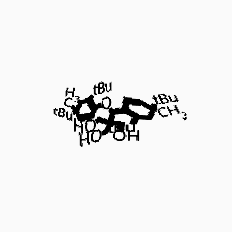 CC(C)(C)C1=C(OC(C2=C(C(C)(C)C)CC(C)(C(C)(C)C)C=C2)C(CO)(CO)CO)C=CC(C)(C(C)(C)C)C1